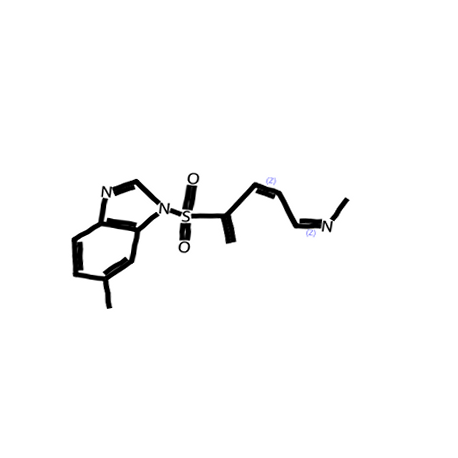 C=C(/C=C\C=N/C)S(=O)(=O)n1cnc2ccc(C)cc21